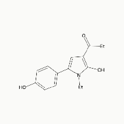 CCC(=O)c1cc(-c2ccc(O)cc2)n(CC)c1O